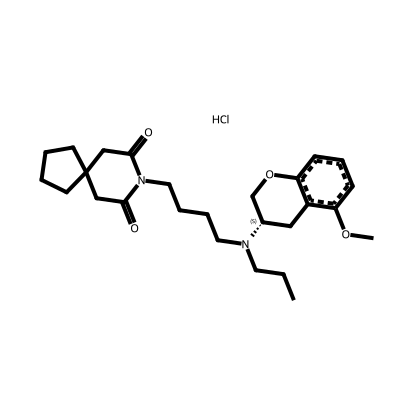 CCCN(CCCCN1C(=O)CC2(CCCC2)CC1=O)[C@@H]1COc2cccc(OC)c2C1.Cl